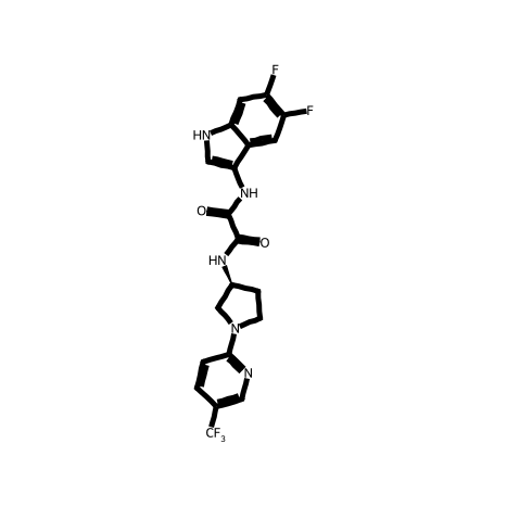 O=C(Nc1c[nH]c2cc(F)c(F)cc12)C(=O)N[C@H]1CCN(c2ccc(C(F)(F)F)cn2)C1